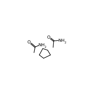 C1CCCC1.CC(N)=O.CC(N)=O